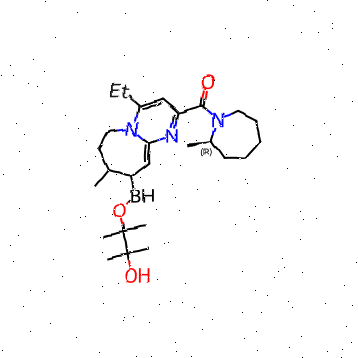 CCC1=CC(C(=O)N2CCCCC[C@H]2C)=NC2=CC(BOC(C)(C)C(C)(C)O)C(C)CCN12